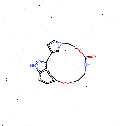 O=C1NCCCOc2ccc3[nH]nc(c3c2)-c2ccn(c2)CCO1